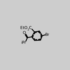 CCOC(=O)c1cc(Br)ccc1C(=O)C(C)C